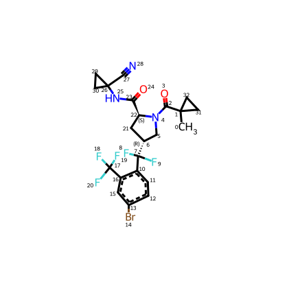 CC1(C(=O)N2C[C@H](C(F)(F)c3ccc(Br)cc3C(F)(F)F)C[C@H]2C(=O)NC2(C#N)CC2)CC1